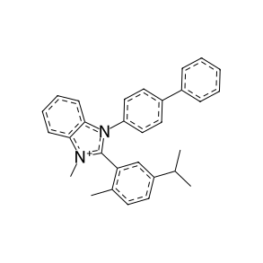 Cc1ccc(C(C)C)cc1-c1n(-c2ccc(-c3ccccc3)cc2)c2ccccc2[n+]1C